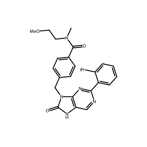 COCCN(C)C(=O)c1ccc(Cn2c(=O)[nH]c3cnc(-c4ccccc4C(C)C)nc32)cc1